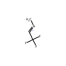 C/N=C/C(F)(F)F